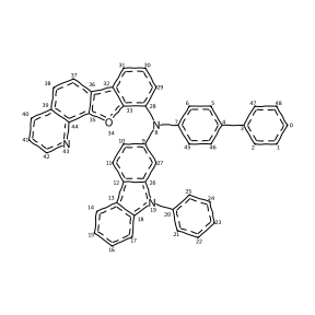 c1ccc(-c2ccc(N(c3ccc4c5ccccc5n(-c5ccccc5)c4c3)c3cccc4c3oc3c4ccc4cccnc43)cc2)cc1